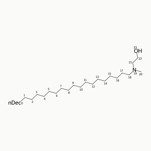 CCCCCCCCCCCCCCCCCCCCCCCCCCCCN(C)CCO